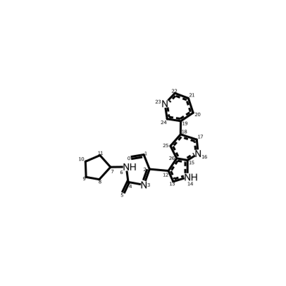 C=C/C(=N\C(=C)NC1CCCC1)c1c[nH]c2ncc(-c3cccnc3)cc12